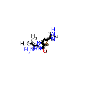 CC(C)C(N)c1nc2cc(-c3c[nH]cn3)sc2c(=O)[nH]1